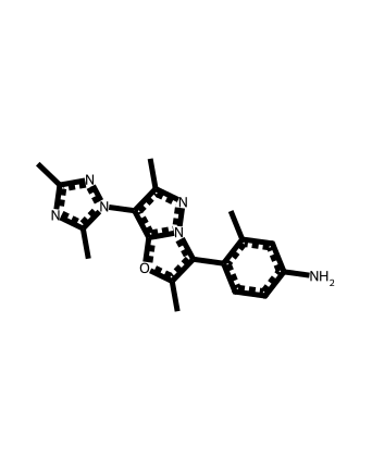 Cc1nc(C)n(-c2c(C)nn3c(-c4ccc(N)cc4C)c(C)oc23)n1